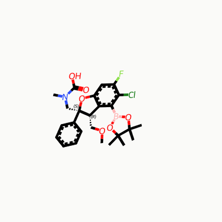 COC[C@H]1c2c(cc(F)c(Cl)c2B2OC(C)(C)C(C)(C)O2)O[C@]1(CN(C)C(=O)O)c1ccccc1